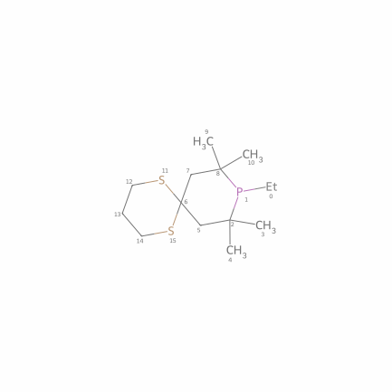 CCP1C(C)(C)CC2(CC1(C)C)SCCCS2